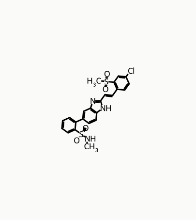 CNS(=O)(=O)c1ccccc1-c1ccc2[nH]c(C=Cc3ccc(Cl)cc3S(C)(=O)=O)nc2c1